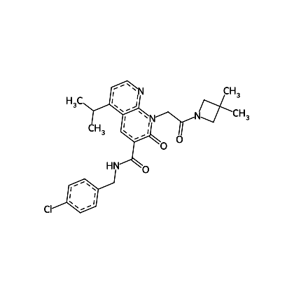 CC(C)c1ccnc2c1cc(C(=O)NCc1ccc(Cl)cc1)c(=O)n2CC(=O)N1CC(C)(C)C1